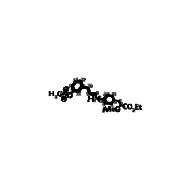 CCOC(=O)[C@H](Cc1ccc(NC=CCc2cccc(OS(C)(=O)=O)c2)cc1)OC